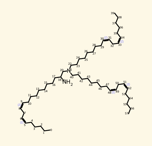 CCCCC/C=C\C/C=C\CCCCCCCCC(N)CN(CCCCCCCC/C=C\C/C=C\CCCCC)CCCCCCCC/C=C\C/C=C\CCCCC